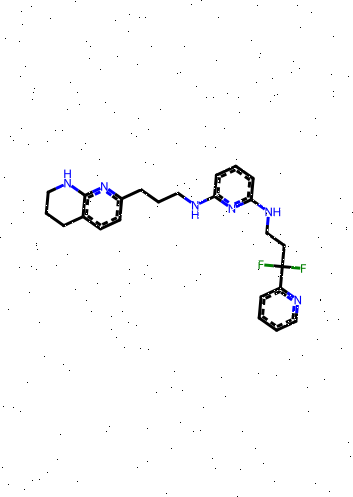 FC(F)(CCNc1cccc(NCCCc2ccc3c(n2)NCCC3)n1)c1ccccn1